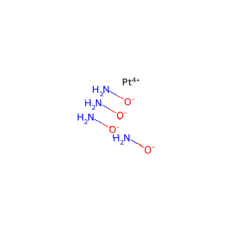 N[O-].N[O-].N[O-].N[O-].[Pt+4]